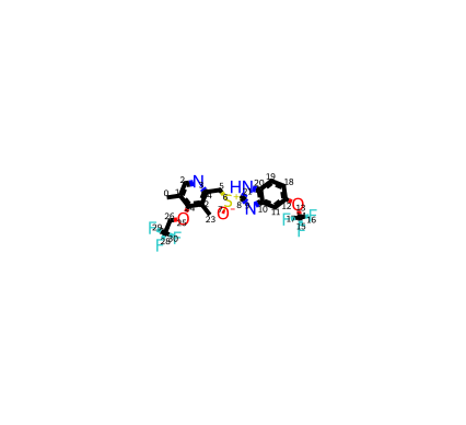 Cc1cnc(C[S@+]([O-])c2nc3cc(OC(F)(F)F)ccc3[nH]2)c(C)c1OCC(F)(F)F